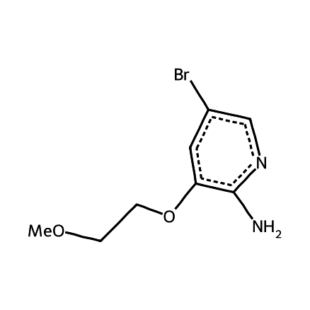 COCCOc1cc(Br)cnc1N